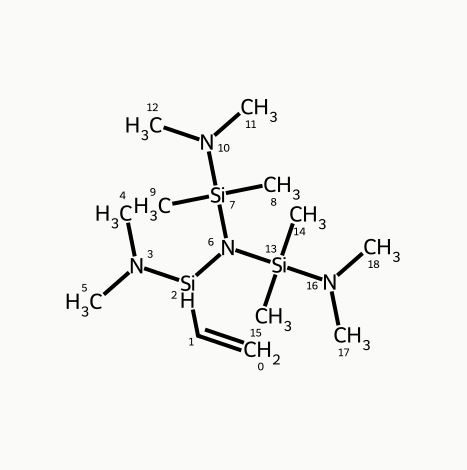 C=C[SiH](N(C)C)N([Si](C)(C)N(C)C)[Si](C)(C)N(C)C